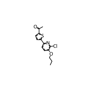 CCCOc1ccc(-c2ccc(C(C)=O)s2)nc1Cl